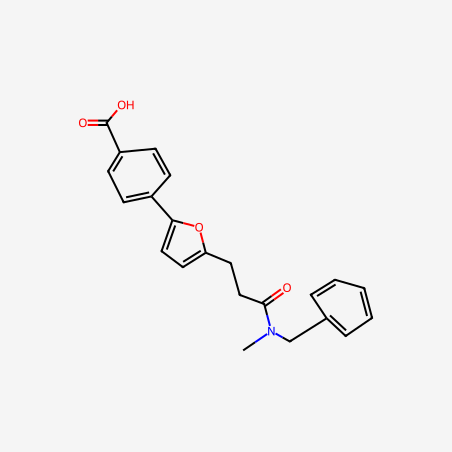 CN(Cc1ccccc1)C(=O)CCc1ccc(-c2ccc(C(=O)O)cc2)o1